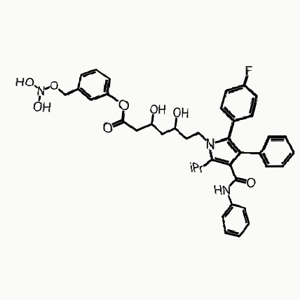 CC(C)c1c(C(=O)Nc2ccccc2)c(-c2ccccc2)c(-c2ccc(F)cc2)n1CCC(O)CC(O)CC(=O)Oc1cccc(CON(O)O)c1